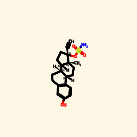 C#C[C@]1(OS(N)(=O)=O)CC[C@H]2[C@@H]3CCc4cc(O)ccc4[C@H]3CC[C@@]21C